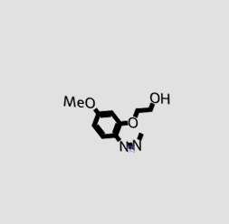 C/N=N\c1ccc(OC)cc1OCCO